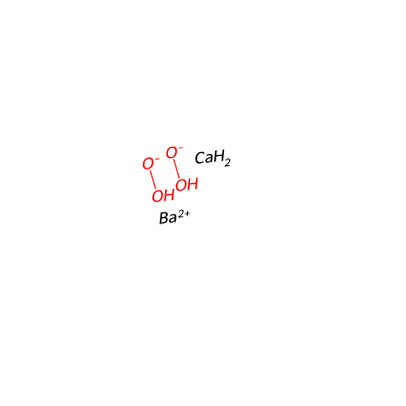 [Ba+2].[CaH2].[O-]O.[O-]O